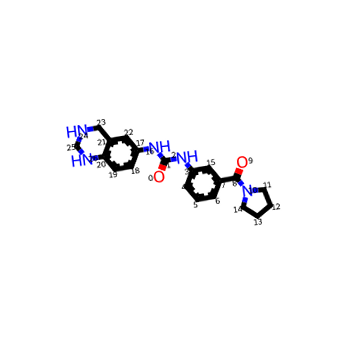 O=C(Nc1cccc(C(=O)N2CCCC2)c1)Nc1ccc2c(c1)CNCN2